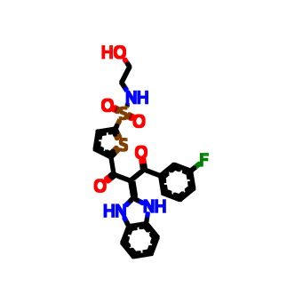 O=C(C(C(=O)c1ccc(S(=O)(=O)NCCO)s1)=C1Nc2ccccc2N1)c1cccc(F)c1